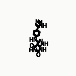 O=c1[nH]c(=O)c2c(Nc3ccc(-c4cnn[nH]4)cc3)n[nH]c2[nH]1